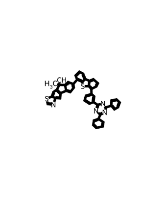 CC1(C)c2cc(-c3cccc4c3sc3c(-c5cccc(-c6nc(-c7ccccc7)nc(-c7ccccc7)n6)c5)cccc34)ccc2-c2cc3ncsc3cc21